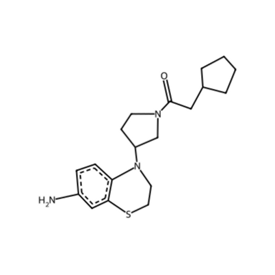 Nc1ccc2c(c1)SCCN2C1CCN(C(=O)CC2CCCC2)C1